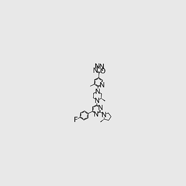 Cc1cc(-c2nnno2)cnc1N1CCN(c2cc(-c3ccc(F)cc3)nc(N3CCC[C@H]3C)n2)[C@H](C)C1